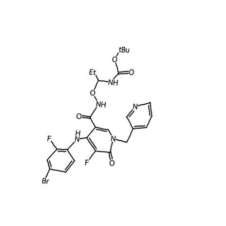 CCC(NC(=O)OC(C)(C)C)ONC(=O)c1cn(Cc2cccnc2)c(=O)c(F)c1Nc1ccc(Br)cc1F